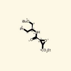 CCOC(=O)C1O[C@@H]1C(=O)N[C@H](COCC(C)C)CC(C)C